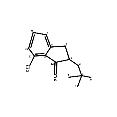 CC(C)(C)CC1Cc2cccc(Cl)c2C1=O